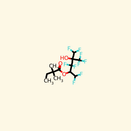 CCC(C)(C)C(=O)OC(C(F)F)C(F)(F)C(O)(C(F)F)C(F)(F)F